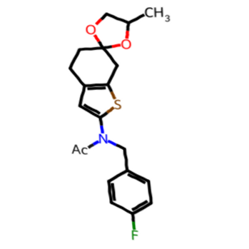 CC(=O)N(Cc1ccc(F)cc1)c1cc2c(s1)CC1(CC2)OCC(C)O1